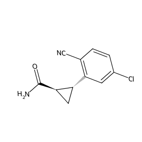 N#Cc1ccc(Cl)cc1[C@@H]1C[C@H]1C(N)=O